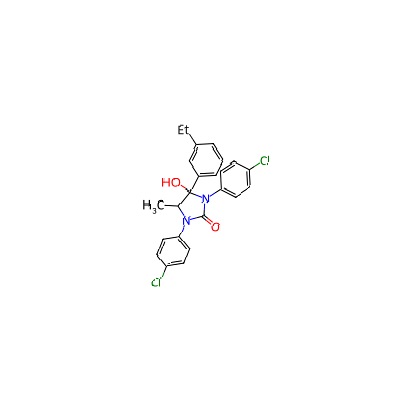 CCc1cccc(C2(O)C(C)N(c3ccc(Cl)cc3)C(=O)N2c2ccc(Cl)cc2)c1